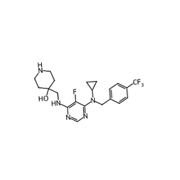 OC1(CNc2ncnc(N(Cc3ccc(C(F)(F)F)cc3)C3CC3)c2F)CCNCC1